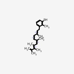 C=C(C)/C(C)=C(C)/C=C(C)\C=C/C(C)=C/Cc1cccc(S)c1C